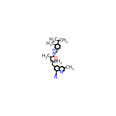 B/C(=C\C(=C)C(=O)NCc1ccc(C(=C)C)c(C)c1)Cc1cc(C#N)c2ncc(C)cc2c1